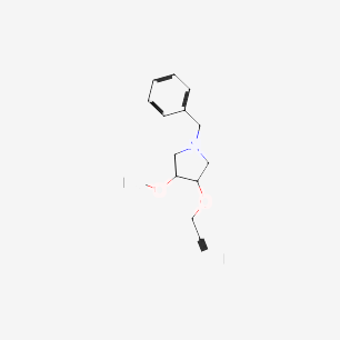 C#CCOC1CN(Cc2ccccc2)CC1OC